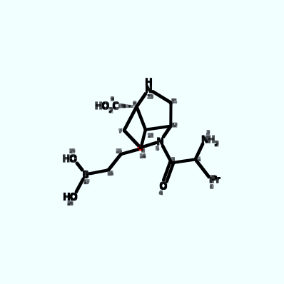 CC(C)C(N)C(=O)N1CC[C@@]2(C(=O)O)NCC1C2CCCB(O)O